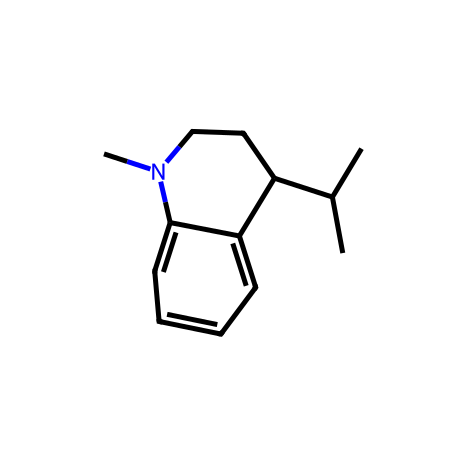 CC(C)C1CCN(C)c2ccccc21